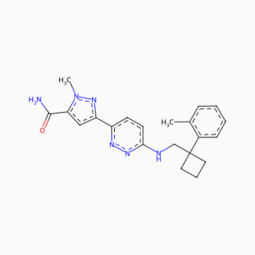 Cc1ccccc1C1(CNc2ccc(-c3cc(C(N)=O)n(C)n3)nn2)CCC1